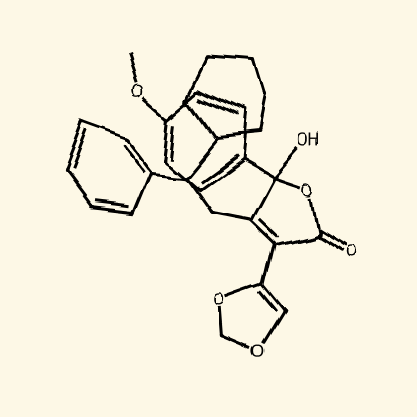 COc1ccc(C2(O)OC(=O)C(C3=COCO3)=C2CC(c2ccccc2)C2CCCCC2)cc1